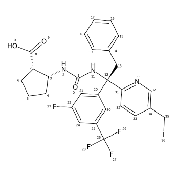 O=C(N[C@@H]1CCC[C@@H]1C(=O)O)N[C@@](Cc1ccccc1)(c1cc(F)cc(C(F)(F)F)c1)c1ccc(CI)cn1